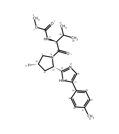 COC(=O)N[C@H](C(=O)N1C[C@@H](F)C[C@H]1c1ncc(-c2ccc(C)cc2)[nH]1)C(C)C